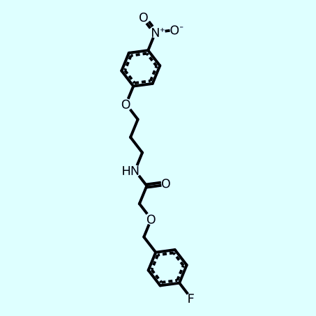 O=C(COCc1ccc(F)cc1)NCCCOc1ccc([N+](=O)[O-])cc1